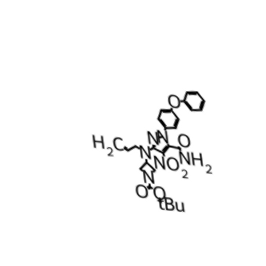 C=CCN(c1nn(-c2ccc(Oc3ccccc3)cc2)c(C(N)=O)c1[N+](=O)[O-])C1CN(C(=O)OC(C)(C)C)C1